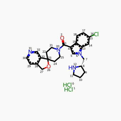 Cl.Cl.O=C(c1cn(C[C@@H]2CCCN2)c2cc(Cl)ccc12)N1CCC2(CC1)OCc1ccncc12